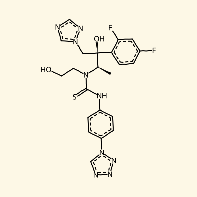 C[C@@H](N(CCO)C(=S)Nc1ccc(-n2cnnn2)cc1)[C@](O)(Cn1cncn1)c1ccc(F)cc1F